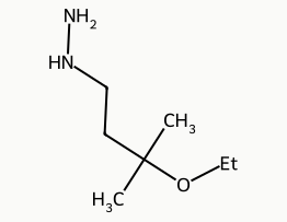 CCOC(C)(C)CCNN